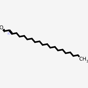 CCCCCCCCCCCCCCCCCC/C=C/[C]=O